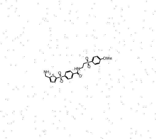 COc1ccc(S(=O)(=O)CCNC(=O)c2ccc(S(=O)(=O)c3ccc(CN)s3)cc2)cc1